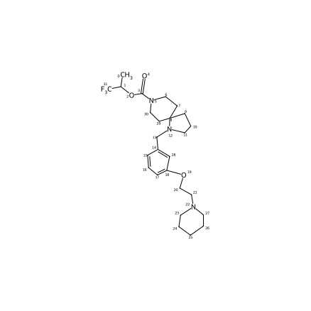 CC(OC(=O)N1CCC2(CCCN2Cc2cccc(OCCN3CCCCC3)c2)CC1)C(F)(F)F